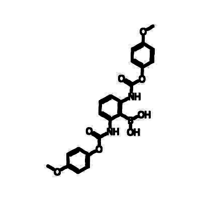 COc1ccc(OC(=O)Nc2cccc(NC(=O)Oc3ccc(OC)cc3)c2B(O)O)cc1